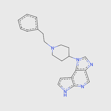 c1ccc(CCN2CCC(n3cnc4cnc5[nH]ccc5c43)CC2)cc1